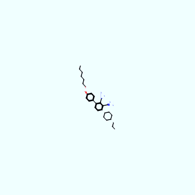 CCCCCCCOc1ccc(-c2ccc([C@H]3CC[C@H](CCC)CC3)c(C#N)c2C#N)cc1